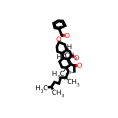 CC(C)CCC[C@@H](C)[C@H]1CC(=O)C2=C3C(=O)C[C@H]4C[C@@H](OC(=O)c5ccccc5)CC[C@]4(C)[C@H]3CC[C@@]21C